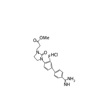 COC(=O)CCN1CCN(c2ccc(-c3ccc(C(=N)N)cc3)cc2F)C1=O.Cl